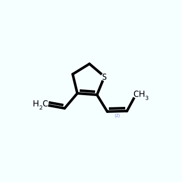 C=CC1=C(/C=C\C)SCC1